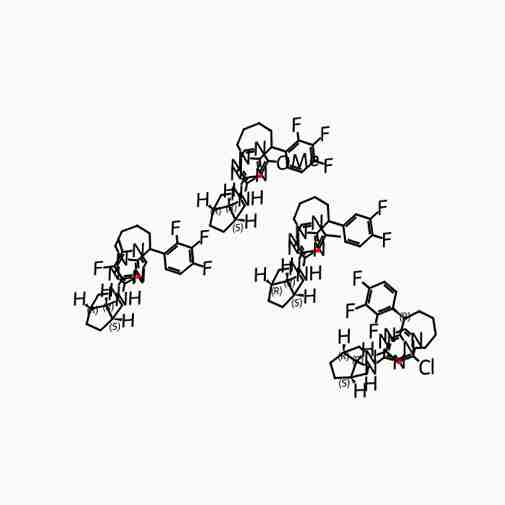 COc1cc(N2C[C@H]3CC[C@@H](C2)[C@H]3Nc2nc3n(n2)CCCCC3c2ccc(F)c(F)c2F)ncn1.Cc1cc(N2C[C@H]3CC[C@@H](C2)[C@H]3Nc2nc3n(n2)CCCCC3c2ccc(F)c(F)c2)ncn1.Cc1ncnc(N2C[C@H]3CC[C@@H](C2)[C@H]3Nc2nc3n(n2)CCCCC3c2ccc(F)c(F)c2F)c1F.Fc1ccc([C@H]2CCCCn3nc(N[C@H]4[C@@H]5CC[C@H]4CN(c4cc(Cl)ncn4)C5)nc32)c(F)c1F